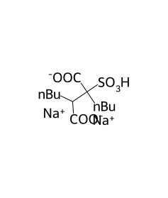 CCCCC(C(=O)[O-])C(CCCC)(C(=O)[O-])S(=O)(=O)O.[Na+].[Na+]